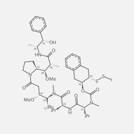 CC[C@H](C)[C@@H]([C@@H](CC(=O)N1CCC[C@H]1[C@H](OC)[C@@H](C)C(=O)N[C@H](C)[C@@H](O)c1ccccc1)OC)N(C)C(=O)[C@@H](NC(=O)[C@H](C(C)C)N(C)C(=O)O[C@H]1Cc2ccccc2C[C@@H]1SSI)C(C)C